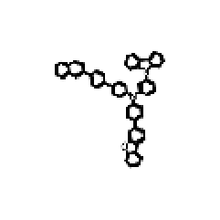 c1cc(N(c2ccc(-c3ccc(-c4ccc5ccccc5c4)cc3)cc2)c2ccc(-c3ccc4c(c3)oc3ccccc34)cc2)cc(-n2c3ccccc3c3ccccc32)c1